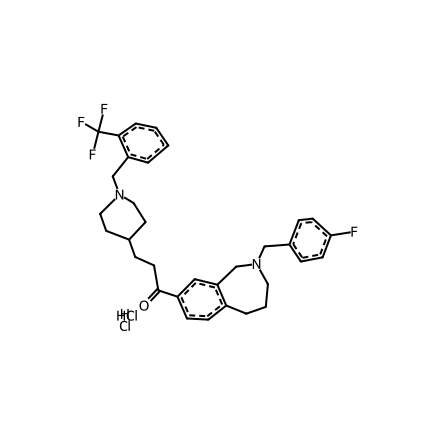 Cl.Cl.O=C(CCC1CCN(Cc2ccccc2C(F)(F)F)CC1)c1ccc2c(c1)CN(Cc1ccc(F)cc1)CCC2